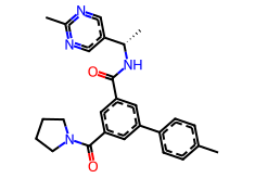 Cc1ccc(-c2cc(C(=O)N[C@@H](C)c3cnc(C)nc3)cc(C(=O)N3CCCC3)c2)cc1